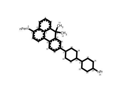 CCCCCc1ccc2c3c(cccc13)C(C)(C)c1cc(C3CCC(C4CCC(CCC)CC4)CC3)ccc1-2